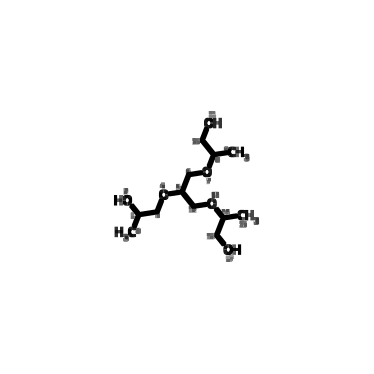 CC(O)COC(COC(C)CO)COC(C)CO